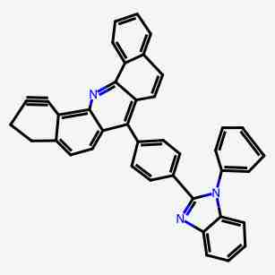 C1#Cc2c(ccc3c(-c4ccc(-c5nc6ccccc6n5-c5ccccc5)cc4)c4ccc5ccccc5c4nc23)CC1